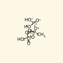 CP(=O)(OP(=O)(O)O)OP(=O)(O)O